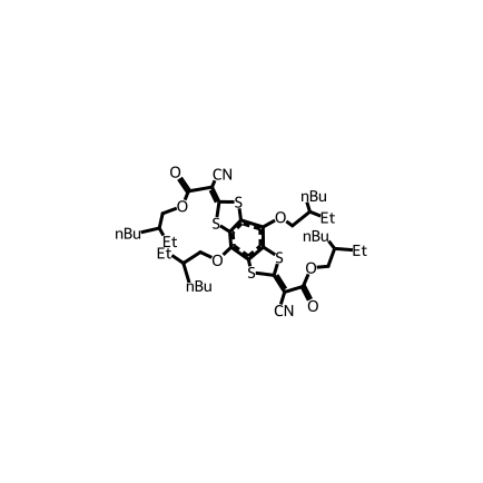 CCCCC(CC)COC(=O)C(C#N)=C1Sc2c(OCC(CC)CCCC)c3c(c(OCC(CC)CCCC)c2S1)SC(=C(C#N)C(=O)OCC(CC)CCCC)S3